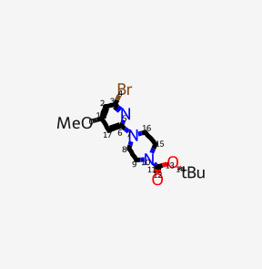 COc1cc(Br)nc(N2CCN(C(=O)OC(C)(C)C)CC2)c1